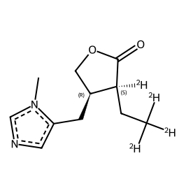 [2H]C([2H])([2H])C[C@]1([2H])C(=O)OC[C@@H]1Cc1cncn1C